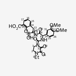 CCN1CCN(C(=O)NC(C(=O)N[C@H]2Cc3cccc(C(=O)O)c3OB2O)c2ccc(OC)c(OC)c2)C(=O)C1=O